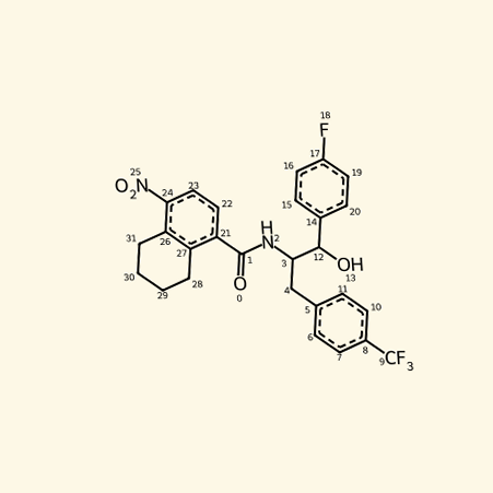 O=C(NC(Cc1ccc(C(F)(F)F)cc1)C(O)c1ccc(F)cc1)c1ccc([N+](=O)[O-])c2c1CCCC2